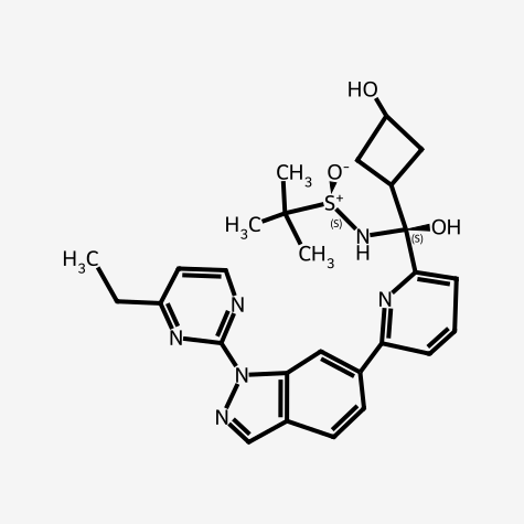 CCc1ccnc(-n2ncc3ccc(-c4cccc([C@](O)(N[S@+]([O-])C(C)(C)C)C5CC(O)C5)n4)cc32)n1